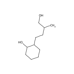 CC(CO)CCC1CCCCC1O